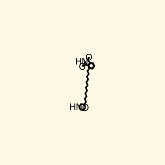 O=C1NC(=O)c2c(CCCCCCCCCCCCC3CNCCO3)cccc21